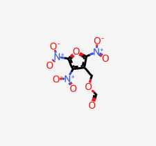 O=COCc1c([N+](=O)[O-])oc([N+](=O)[O-])c1[N+](=O)[O-]